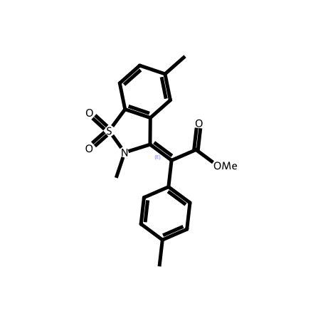 COC(=O)/C(=C1\c2cc(C)ccc2S(=O)(=O)N1C)c1ccc(C)cc1